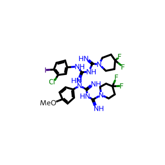 COc1ccc(NC(=N)NC(=N)N2CCC(F)(F)CC2)cc1.N=C(NC(=N)N1CCC(F)(F)CC1)Nc1ccc(I)c(Cl)c1